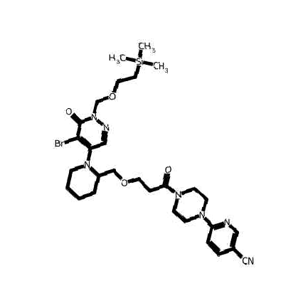 C[Si](C)(C)CCOCn1ncc(N2CCCCC2COCCC(=O)N2CCN(c3ccc(C#N)cn3)CC2)c(Br)c1=O